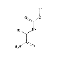 CCOC(=O)NN(O)C(N)=O